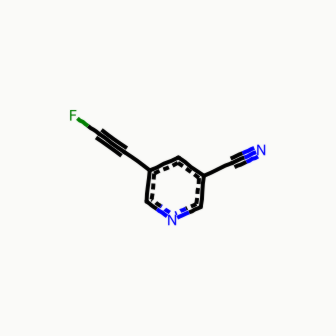 N#Cc1cncc(C#CF)c1